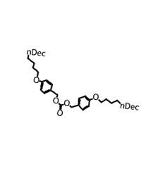 CCCCCCCCCCCCCCOc1ccc(COC(=O)OCc2ccc(OCCCCCCCCCCCCCC)cc2)cc1